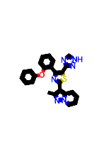 Cc1nn2ccccc2c1-c1nc(-c2ccccc2Oc2ccccc2)c(-c2nc[nH]n2)s1